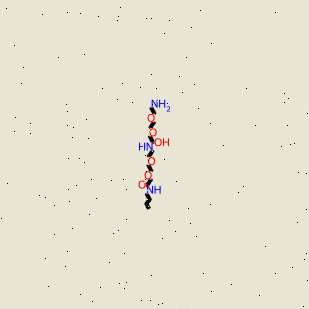 CCCCNC(=O)COCCOCCNC(O)COCCOCCN